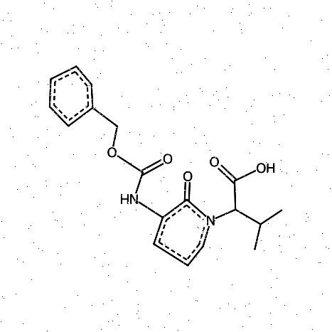 CC(C)C(C(=O)O)n1cccc(NC(=O)OCc2ccccc2)c1=O